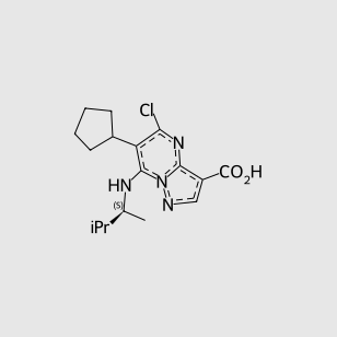 CC(C)[C@H](C)Nc1c(C2CCCC2)c(Cl)nc2c(C(=O)O)cnn12